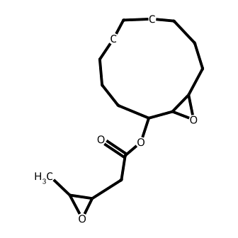 CC1OC1CC(=O)OC1CCCCCCCCCC2OC12